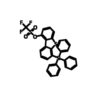 O=S(=O)(Oc1cccc2sc3c([Si](c4ccccc4)(c4ccccc4)c4ccccc4)cccc3c12)C(F)(F)F